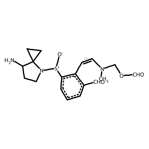 CN(/C=C\c1c(C=O)cccc1[S+]([O-])N1CCC(N)C12CC2)COC=O